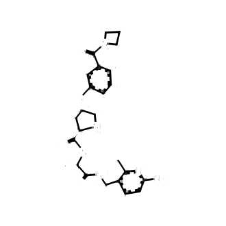 Cc1nc(N)ccc1CNC(=O)[C@H](C)NC(=O)[C@H]1C[C@H](Cc2cccc(C(=O)N3CCC3)c2)CN1